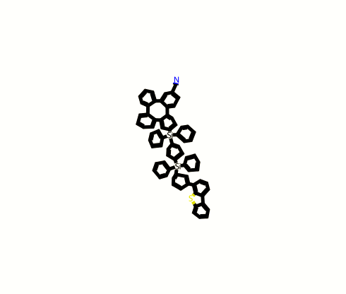 N#Cc1ccc2c(c1)-c1ccccc1-c1ccccc1-c1cc([Si](c3ccccc3)(c3ccccc3)c3ccc([Si](c4ccccc4)(c4ccccc4)c4cccc(-c5cccc6c5sc5ccccc56)c4)cc3)ccc1-2